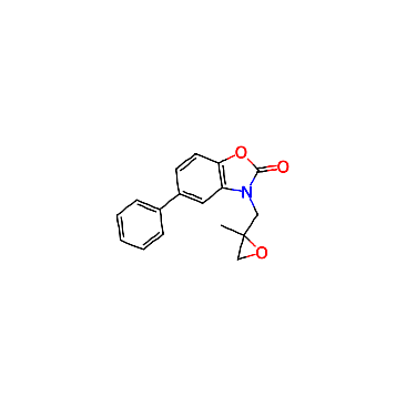 CC1(Cn2c(=O)oc3ccc(-c4ccccc4)cc32)CO1